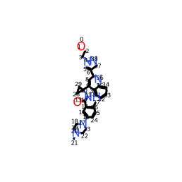 COCCn1cc(-c2cc(C3(NC(=O)c4cc(N5CCN(C)CC5)ccc4C)CC3)c3ccccc3n2)cn1